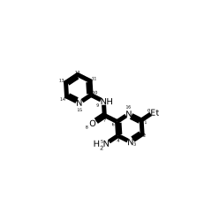 CCc1cnc(N)c(C(=O)Nc2ccccn2)n1